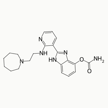 NC(=O)Oc1cccc2[nH]c(-c3cccnc3NCCN3CCCCCC3)nc12